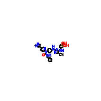 Cn1cc(-c2ccc(N(C(=O)NCc3ccccc3)C3CCC(Nc4ncc(C#N)c(NC5CCS(O)(O)C5)n4)CC3)nc2)cn1